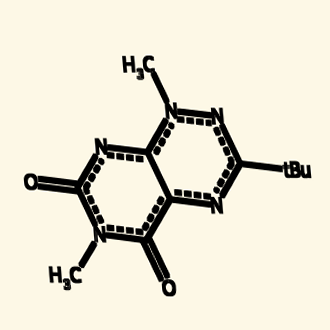 Cn1nc(C(C)(C)C)nc2c(=O)n(C)c(=O)nc1-2